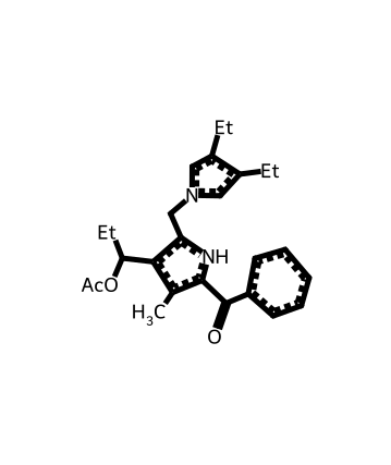 CCc1cn(Cc2[nH]c(C(=O)c3ccccc3)c(C)c2C(CC)OC(C)=O)cc1CC